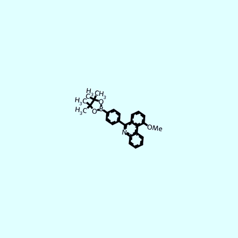 COc1cccc2c(-c3ccc(B4OC(C)(C)C(C)(C)O4)cc3)nc3ccccc3c12